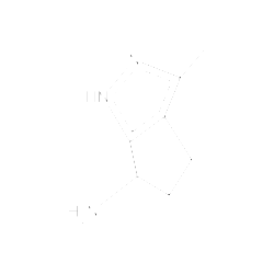 Cc1n[nH]c2c1CCC2N